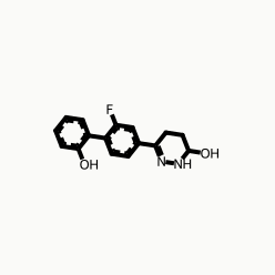 Oc1ccccc1-c1ccc(C2=NNC(O)CC2)cc1F